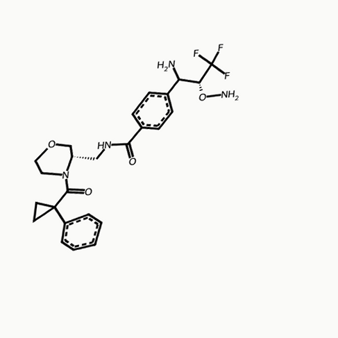 NO[C@H](C(N)c1ccc(C(=O)NC[C@H]2COCCN2C(=O)C2(c3ccccc3)CC2)cc1)C(F)(F)F